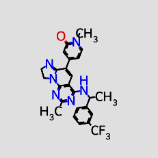 Cc1nc(NC(C)c2cccc(C(F)(F)F)c2)c2c(n1)N1CCN=C1C(c1ccn(C)c(=O)c1)=C2